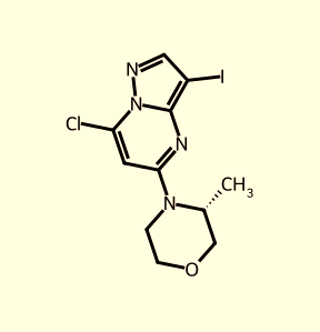 C[C@@H]1COCCN1c1cc(Cl)n2ncc(I)c2n1